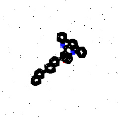 c1ccc(-n2c3ccccc3c3ccc4c5ccccc5nc(-c5cccc(-c6ccc7cc(-c8ccc9ccccc9c8)ccc7c6)c5)c4c32)cc1